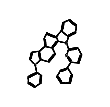 c1ccc(-c2cccc(-n3c4ccccc4c4ccc5c6ccn(-c7ccccc7)c6ccc5c43)n2)cc1